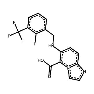 O=C(O)c1c(NCc2cccc(C(F)(F)F)c2F)ccc2nccn12